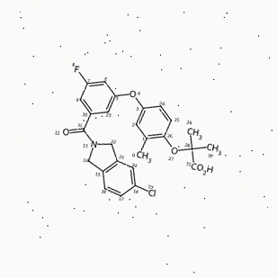 Cc1cc(Oc2cc(F)cc(C(=O)N3Cc4ccc(Cl)cc4C3)c2)ccc1OC(C)(C)C(=O)O